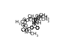 CCOc1nc2c(n1Cc1ccc(-c3ccccc3-c3nnn[nH]3)cc1)C(C(=O)OC(C)OC(=O)OCC(C)(C)CCCO/N=[N+](\[O-])N(C)C(C)(C)C)CC=C2